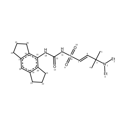 CCN(CC)C(C)(C)/C=C/S(=O)(=O)NC(=O)Nc1c2c(cc3c1CCC3)CCC2